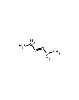 [SiH3][SiH2]N=N[SiH2][SiH3]